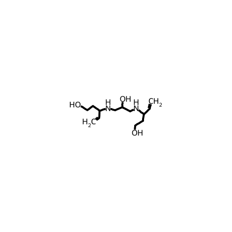 C=CC(CCO)NCC(O)CNC(C=C)CCO